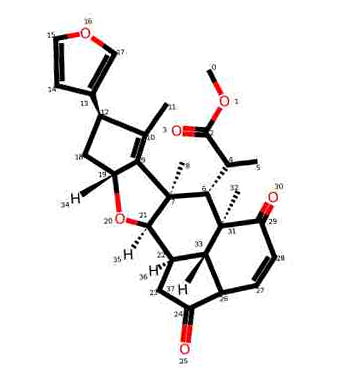 COC(=O)C(C)[C@H]1[C@]2(C)C3=C(C)[C@H](c4ccoc4)C[C@H]3O[C@@H]2[C@@H]2CC(=O)C3C=CC(=O)[C@@]1(C)[C@H]32